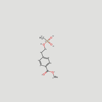 CC(C)(C)OC(=O)c1ccc(CCOS(C)(=O)=O)cc1